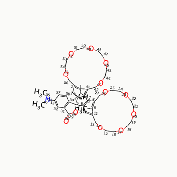 Cc1c2cc(C3(c4cc5c(C)c(c4)COCCOCCOCCOCCOC5)OC(=O)c4cc(N(C)C)ccc43)cc1COCCOCCOCCOCCOC2